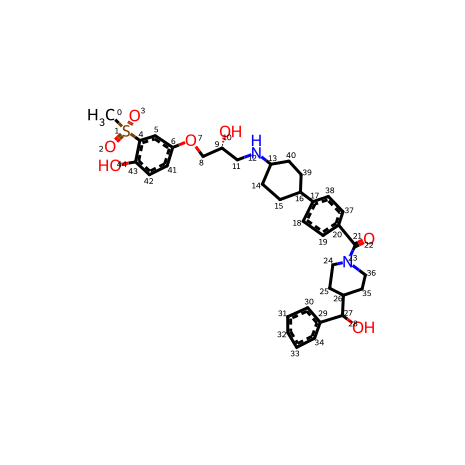 CS(=O)(=O)c1cc(OC[C@H](O)CNC2CCC(c3ccc(C(=O)N4CCC(C(O)c5ccccc5)CC4)cc3)CC2)ccc1O